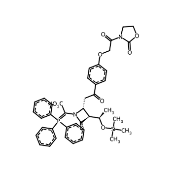 C[C@@H](O[Si](C)(C)C)[C@H]1C(=O)N(C(C(=O)O)=P(c2ccccc2)(c2ccccc2)c2ccccc2)[C@@H]1CC(=O)c1ccc(OCC(=O)N2CCOC2=O)cc1